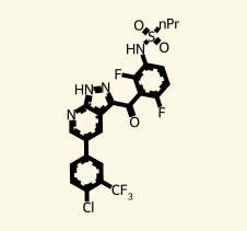 CCCS(=O)(=O)Nc1ccc(F)c(C(=O)c2n[nH]c3ncc(-c4ccc(Cl)c(C(F)(F)F)c4)cc23)c1F